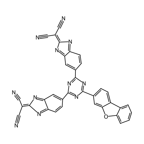 N#CC(C#N)=C1N=c2ccc(-c3nc(-c4ccc5c(c4)=NC(=C(C#N)C#N)N=5)nc(-c4ccc5c(c4)oc4ccccc45)n3)cc2=N1